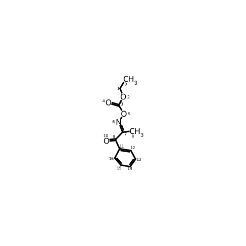 CCOC(=O)O/N=C(\C)C(=O)c1ccccc1